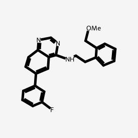 COCc1ccccc1CCNc1ncnc2ccc(-c3cccc(F)c3)cc12